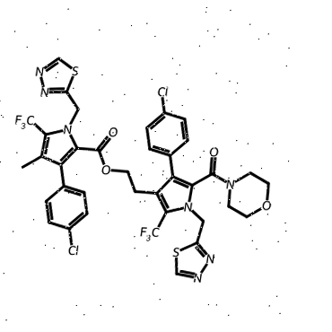 Cc1c(-c2ccc(Cl)cc2)c(C(=O)OCCc2c(-c3ccc(Cl)cc3)c(C(=O)N3CCOCC3)n(Cc3nncs3)c2C(F)(F)F)n(Cc2nncs2)c1C(F)(F)F